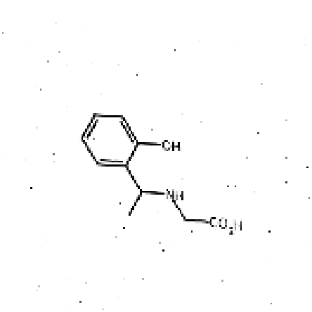 CC(NCC(=O)O)c1ccccc1O